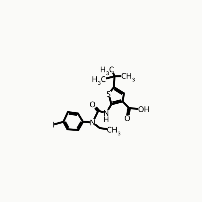 CCN(C(=O)Nc1sc(C(C)(C)C)cc1C(=O)O)c1ccc(I)cc1